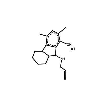 C=CCNC1c2c(O)c(C)cc(C)c2C2CCCCC21.Cl